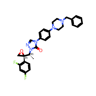 C[C@@H](n1ncn(-c2ccc(N3CCN(Cc4ccccc4)CC3)cc2)c1=O)[C@]1(c2ccc(F)cc2F)CO1